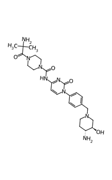 CC(C)(N)C(=O)N1CCN(C(=O)Nc2ccn(-c3ccc(CN4CC[C@@H](N)[C@H](O)C4)cc3)c(=O)n2)CC1